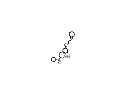 O=C(C1CCCC1)C1CCc2cc(OCCCN3CCCCC3)ccc2NC1